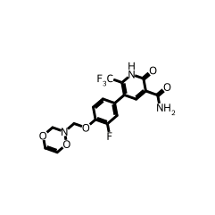 NC(=O)c1cc(-c2ccc(OCN3COC=CO3)c(F)c2)c(C(F)(F)F)[nH]c1=O